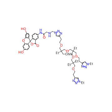 CCn1cc(CCOCC(CC)(CC)COCC(CC)(COCCc2cn(CC)nn2)COCC(CC)(COC)COCCc2cn(CNCC(=O)Nc3ccc4c(c3)C(=O)OC43c4ccc(O)cc4Oc4cc(O)ccc43)nn2)nn1